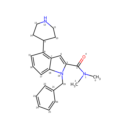 CN(C)C(=O)c1cc2c(C3CCNCC3)cccc2n1Cc1ccccc1